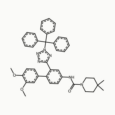 COc1ccc(-c2ccc(NC(=O)N3CCC(C)(C)CC3)cc2-c2nnn(C(c3ccccc3)(c3ccccc3)c3ccccc3)n2)cc1OC